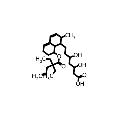 C=CCC(CC)(CC)C(=O)OC1CCC=C2C=CC(C)C(CCC(O)CC(O)CC(=O)O)C21